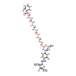 CCN(CC(COC(C)C)OCCOCCOCCOCCOCCOC(=O)c1ccccc1C)c1ccc(/N=N/c2sc(C#N)c(C)c2C#N)c(C)c1